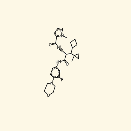 Cn1nccc1C(=O)[N+]#CC(C(=O)Nc1ccc(N2CCOCC2)c(F)c1)C(C1CCC1)C1(C)CC1